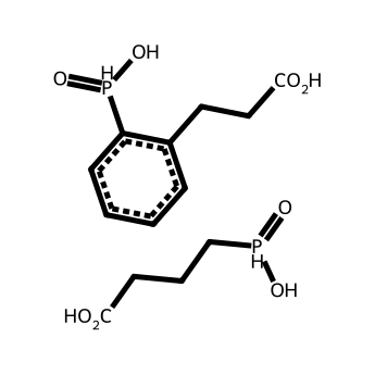 O=C(O)CCC[PH](=O)O.O=C(O)CCc1ccccc1[PH](=O)O